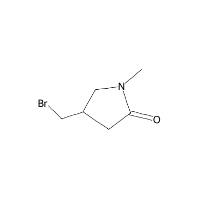 CN1CC(CBr)CC1=O